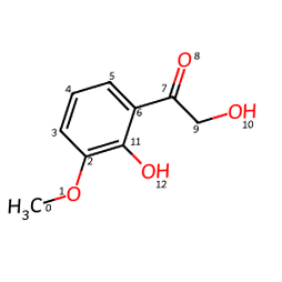 COc1cccc(C(=O)CO)c1O